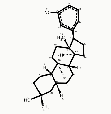 C[C@@]1(O)CC[C@H]2[C@H](CC[C@@H]3[C@@H]2CC[C@]2(C)[C@@H](c4cccc(C#N)c4)CC[C@@H]32)C1